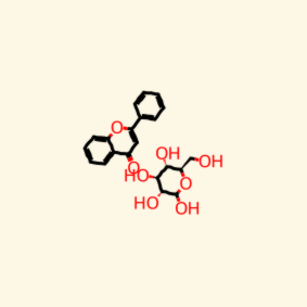 O=c1cc(-c2ccccc2)oc2ccccc12.OC[C@H]1OC(O)[C@H](O)[C@@H](O)[C@@H]1O